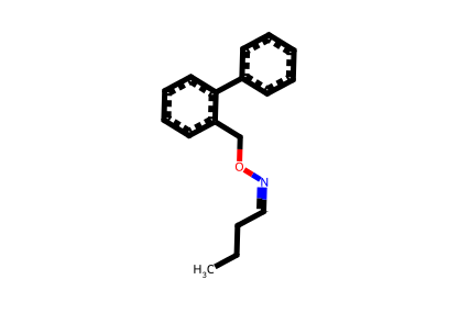 CCC/[C]=N\OCc1ccccc1-c1ccccc1